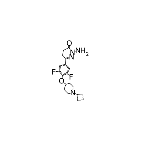 NN1N=C(c2cc(F)c(OC3CCN(C4CCC4)CC3)c(F)c2)CCC1=O